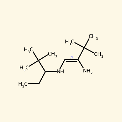 CCC(N/C=C(\N)C(C)(C)C)C(C)(C)C